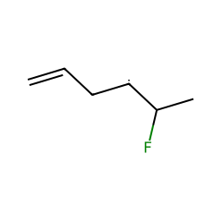 C=CC[CH]C(C)F